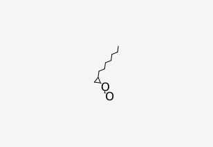 CCCCCCCC1CC1OC=O